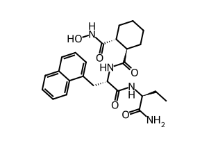 CC[C@H](NC(=O)[C@H](Cc1cccc2ccccc12)NC(=O)[C@@H]1CCCC[C@H]1C(=O)NO)C(N)=O